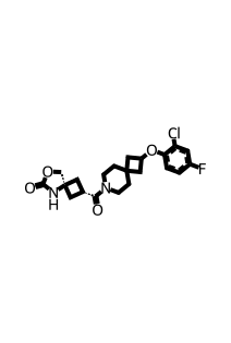 O=C1N[C@]2(CO1)C[C@@H](C(=O)N1CCC3(CC1)CC(Oc1ccc(F)cc1Cl)C3)C2